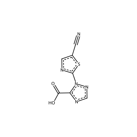 N#Cc1cnc(-n2ncnc2C(=O)O)s1